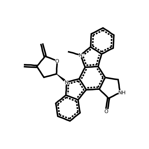 C=C1C[C@H](n2c3ccccc3c3c4c(c5c6ccccc6n(C)c5c32)CNC4=O)OC1=C